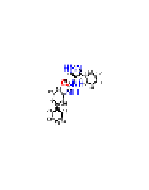 O=C(Nc1c[nH]nc1-c1ccccc1)NC1CCCC(c2ccccc2)C1